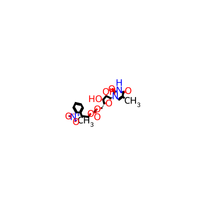 Cc1cn([C@@H]2O[C@H](COC(=O)OCC(C)c3ccccc3[N+](=O)[O-])C(O)C2O)c(=O)[nH]c1=O